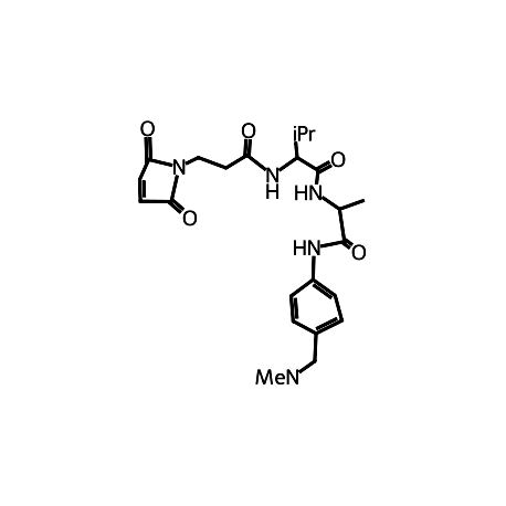 CNCc1ccc(NC(=O)C(C)NC(=O)C(NC(=O)CCN2C(=O)C=CC2=O)C(C)C)cc1